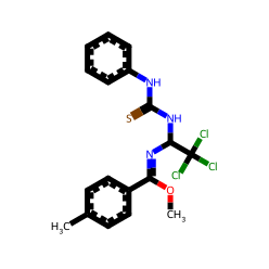 CO/C(=N\C(NC(=S)Nc1ccccc1)C(Cl)(Cl)Cl)c1ccc(C)cc1